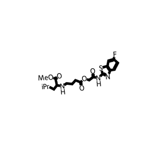 COC(=O)C(CC(C)C)NCCCC(=O)OCC(=O)Nc1nc2ccc(F)cc2s1